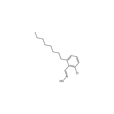 CCCCCCCCc1cccc(Cl)c1/C=N/O